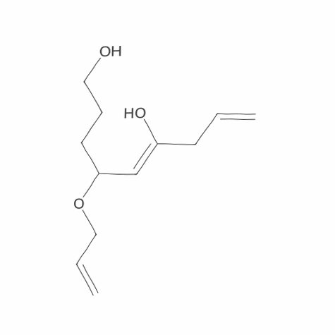 C=CCOC(C=C(O)CC=C)CCCO